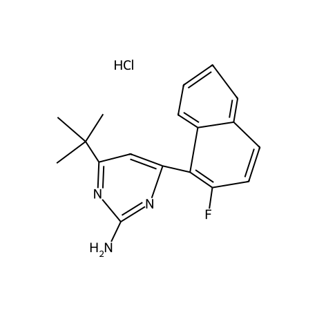 CC(C)(C)c1cc(-c2c(F)ccc3ccccc23)nc(N)n1.Cl